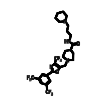 O=C(NCCCN1CCCCC1)C1CCN(Cc2oc(-c3cc(C(F)(F)F)cc(C(F)(F)F)c3)nc2C(F)(F)F)CC1